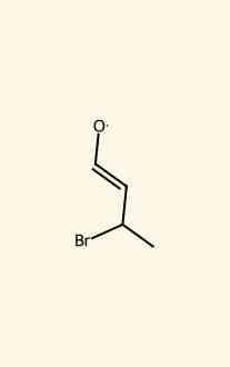 CC(Br)C=C[O]